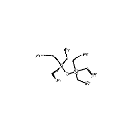 CC(C)C[Si](CC(C)C)(CC(C)C)O[Si](CC(C)C)(CC(C)C)CC(C)C